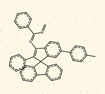 C=N/C(=N\C1=C(c2ccccc2)C2(c3cc(-c4ccc(C)cc4)ccc31)c1ccccc1-c1ccccc12)c1ccccc1